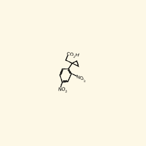 O=C(O)CC1(c2ccc([N+](=O)[O-])cc2[N+](=O)[O-])CC1